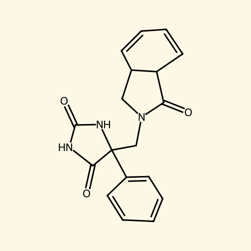 O=C1NC(=O)C(CN2CC3C=CC=CC3C2=O)(c2ccccc2)N1